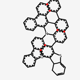 C1=CCC2C(=C1)Sc1c(-c3ccccc3N(c3ccc4c(c3)oc3ccccc34)c3c(-c4ccccc4-c4ccccc4)c4ccccc4c4ccccc34)cccc12